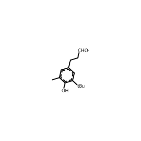 Cc1cc(CC[C]=O)cc(C(C)(C)C)c1O